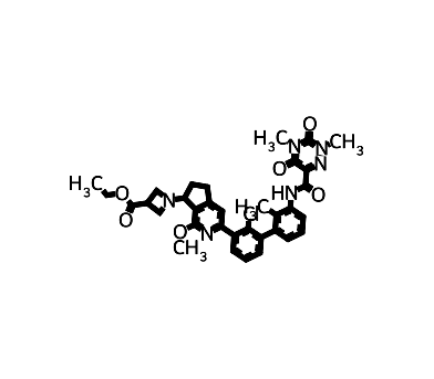 CCOC(=O)C1CN(C2CCc3cc(-c4cccc(-c5cccc(NC(=O)c6nn(C)c(=O)n(C)c6=O)c5C)c4Cl)nc(OC)c32)C1